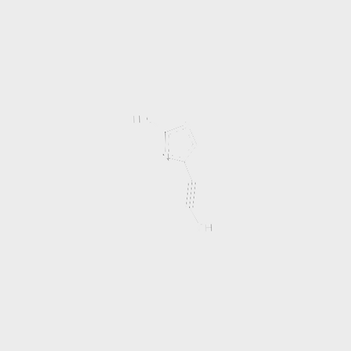 CC#Cc1csc(C)n1